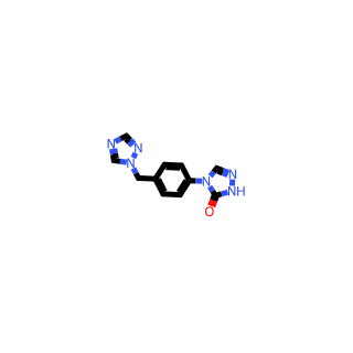 O=c1[nH]ncn1-c1ccc(Cn2cncn2)cc1